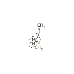 CC#CCOc1ncnc(N2C(C)CCCC2C)c1F